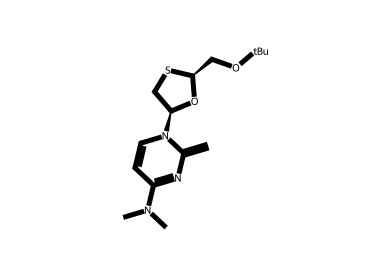 C=C1N=C(N(C)C)C=CN1[C@H]1CS[C@@H](COC(C)(C)C)O1